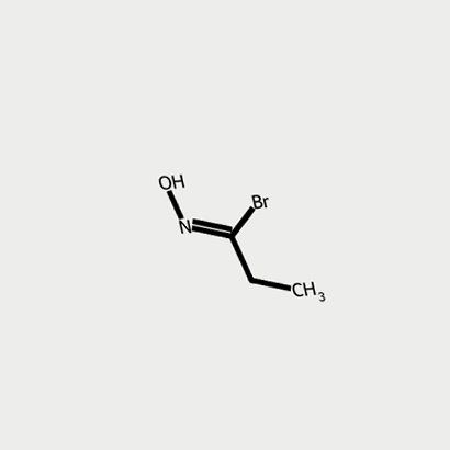 CCC(Br)=NO